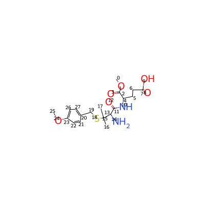 COC(=O)C(CCC(=O)O)NC(=O)C(N)C(C)(C)SCc1ccc(OC)cc1